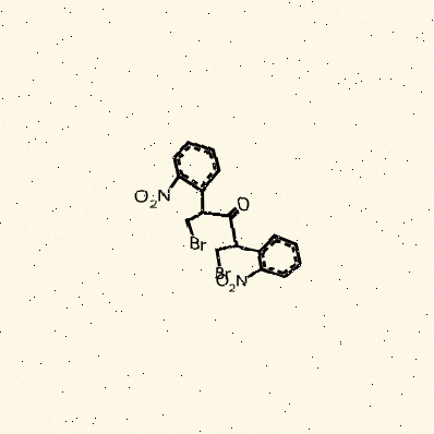 O=C(C(CBr)c1ccccc1[N+](=O)[O-])C(CBr)c1ccccc1[N+](=O)[O-]